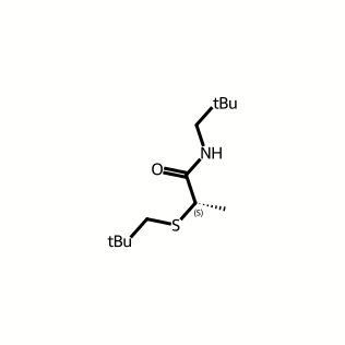 C[C@H](SCC(C)(C)C)C(=O)NCC(C)(C)C